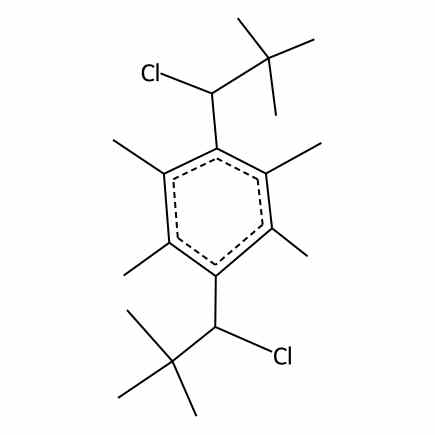 Cc1c(C)c(C(Cl)C(C)(C)C)c(C)c(C)c1C(Cl)C(C)(C)C